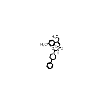 CCC(=CS(=O)(=O)NC(=O)N1CCC(c2ccccc2)CC1)c1ccc(C)cc1